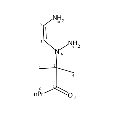 CCCC(=O)C(C)(C)N(N)/C=C\N